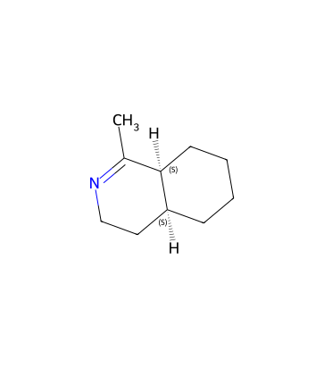 CC1=NCC[C@@H]2CCCC[C@H]12